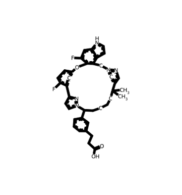 CC1(C)CCCCC(c2cccc(CCC(=O)O)c2)n2ccc(n2)-c2cc(ccc2F)Oc2c(F)cc3[nH]ccc3c2Cn2cc1cn2